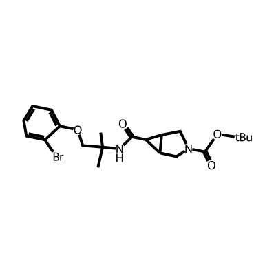 CC(C)(COc1ccccc1Br)NC(=O)C1C2CN(C(=O)OC(C)(C)C)CC21